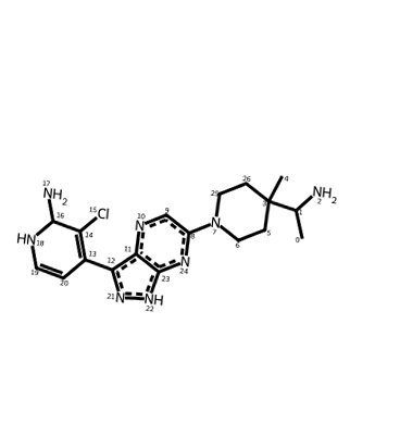 CC(N)C1(C)CCN(c2cnc3c(C4=C(Cl)C(N)NC=C4)n[nH]c3n2)CC1